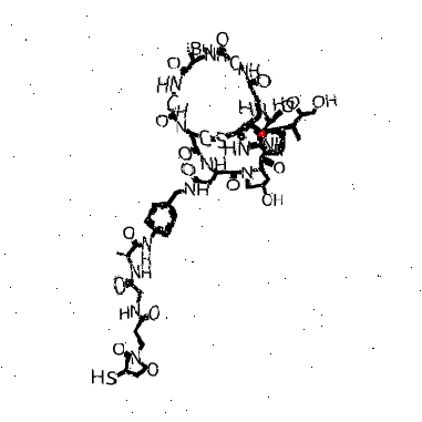 CCC(C)C1NC(=O)CNC(=O)C2Cc3c([nH]c4ccccc34)SCC(NC(=O)CNC1=O)C(=O)NC(CC(=O)NCc1ccc(NC(=O)[C@H](C)NC(=O)CNC(=O)CCN3C(=O)CC(S)C3=O)cc1)C(=O)N1CC(O)CC1C(=O)NC(C(C)C(O)CO)C(=O)N2